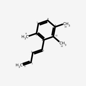 C=CC=Cc1c(C)ccc(C)c1C